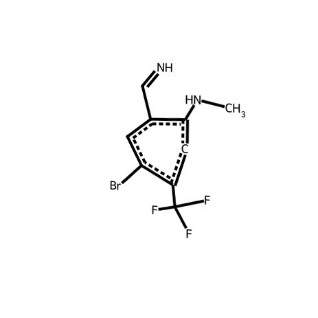 CNc1cc(C(F)(F)F)c(Br)cc1C=N